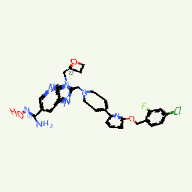 N/C(=N\O)c1cnc2c(c1)nc(CN1CC=C(c3cccc(OCc4ccc(Cl)cc4F)n3)CC1)n2C[C@@H]1CCO1